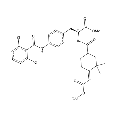 COC(=O)[C@H](Cc1ccc(NC(=O)c2c(Cl)cccc2Cl)cc1)NC(=O)C1CCC(=CC(=O)OC(C)(C)C)C(C)(C)C1